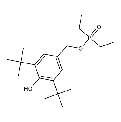 CCP(=O)(CC)OCc1cc(C(C)(C)C)c(O)c(C(C)(C)C)c1